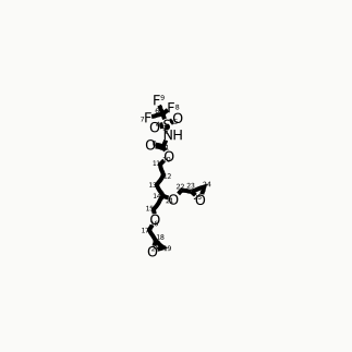 O=C(NS(=O)(=O)C(F)(F)F)OCCCC(COCC1CO1)OCC1CO1